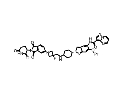 CC(C)Oc1cc2nn([C@H]3CC[C@H](NCC4(F)CN(c5ccc6c(c5)C(=O)N(C5CCC(=O)NC5=O)C6=O)C4)CC3)cc2cc1NC(=O)c1cnn2cccnc12